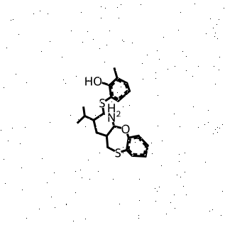 Cc1cccc(SCC(CC2CSc3ccccc3OC2N)C(C)C)c1O